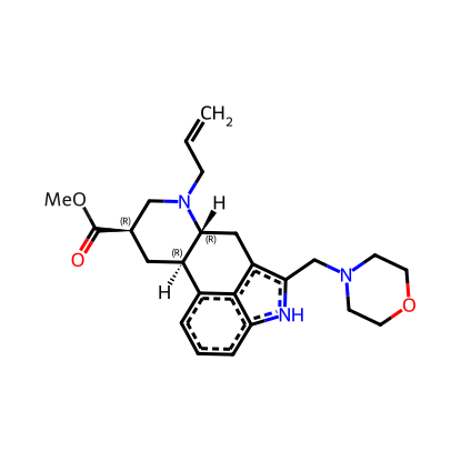 C=CCN1C[C@H](C(=O)OC)C[C@@H]2c3cccc4[nH]c(CN5CCOCC5)c(c34)C[C@H]21